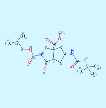 COC(=O)C12CC(NC(=O)OC(C)(C)C)CC1C(=O)N(C(=O)OCC(C)C)C2